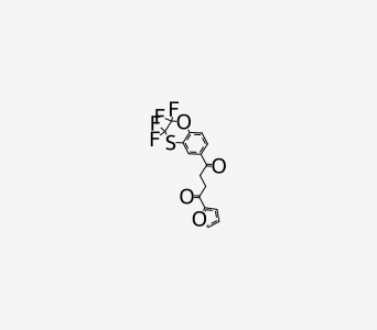 O=C(CCC(=O)c1ccco1)c1ccc2c(c1)SC(F)(F)C(F)(F)O2